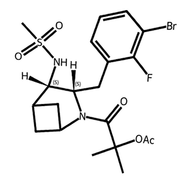 CC(=O)OC(C)(C)C(=O)N1C2CC(C2)[C@H](NS(C)(=O)=O)[C@@H]1Cc1cccc(Br)c1F